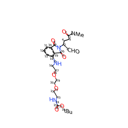 CNC(=O)CCC(C=O)N1C(=O)c2cccc(NCCOCCOCCNC(=O)OC(C)(C)C)c2C1=O